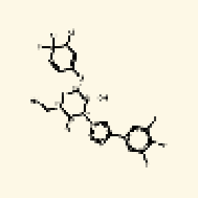 OC[C@H]1O[C@H](SC2=CC(Cl)C(F)(Cl)C=C2)[C@H](O)[C@@H](n2cc(-c3cc(F)c(F)c(F)c3)nn2)[C@H]1O